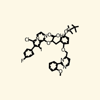 COc1ccccc1-c1nccc(COc2ccc(O[Si](C)(C)C(C)(C)C)cc2CC(Oc2nccn3c(Cl)c(-c4ccc(F)cc4)c(I)c23)C(=O)O)n1